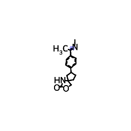 C/C(=N\I)c1ccc(C2CCC3(COC(=O)N3)C2)cc1